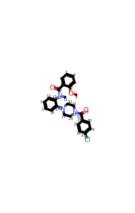 COc1ccccc1C(=O)N(C)c1ccccc1N1CCN(C(=O)c2ccc(Cl)cc2)CC1